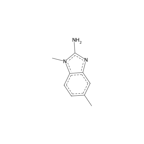 Cc1ccc2c(c1)nc(N)n2C